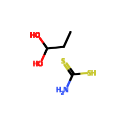 CCC(O)O.NC(=S)S